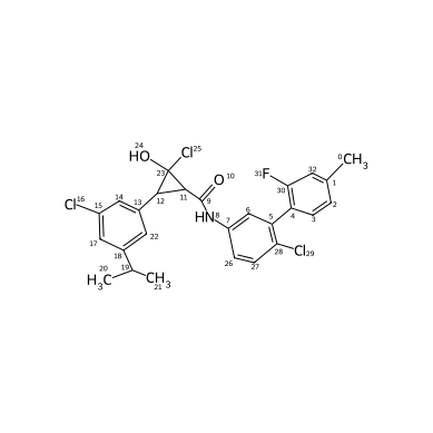 Cc1ccc(-c2cc(NC(=O)C3C(c4cc(Cl)cc(C(C)C)c4)C3(O)Cl)ccc2Cl)c(F)c1